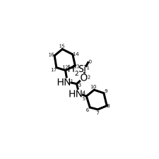 C[SiH2]OC(NC1CCCCC1)NC1CCCCC1